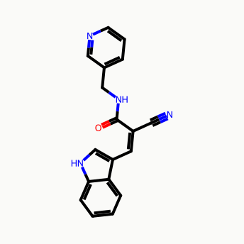 N#CC(=Cc1c[nH]c2ccccc12)C(=O)NCc1cccnc1